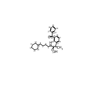 CC(C(=O)NCCCCN1CCCCC1)c1cccc(C(=O)c2ccccc2)c1.I